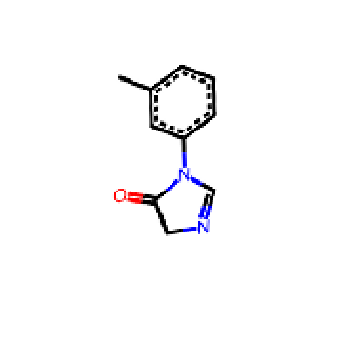 Cc1cccc(N2C=NCC2=O)c1